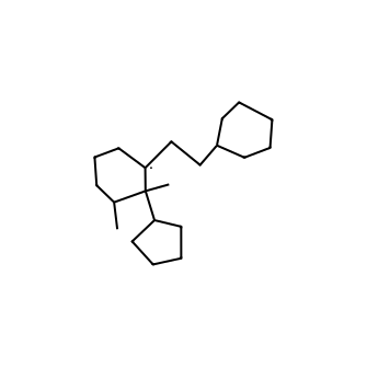 CC1CCC[C](CCC2CCCCC2)C1(C)C1CCCC1